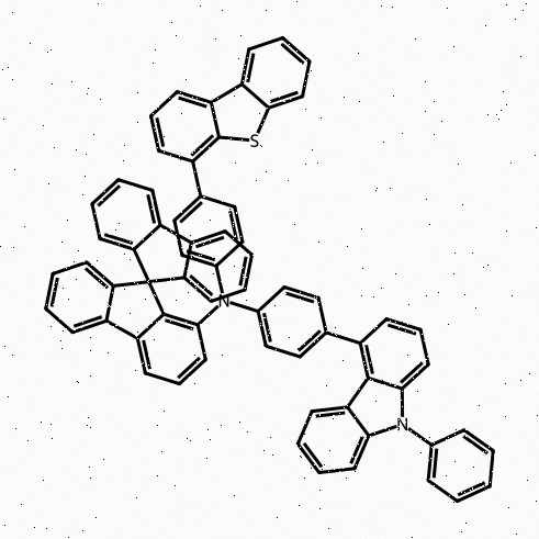 c1ccc(-n2c3ccccc3c3c(-c4ccc(N(c5ccc(-c6cccc7c6sc6ccccc67)cc5)c5cccc6c5C5(c7ccccc7-c7ccccc75)c5ccccc5-6)cc4)cccc32)cc1